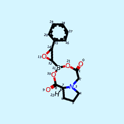 O=C1CN2CCC[C@H]2C(=O)OB(C2OC2c2ccccc2)O1